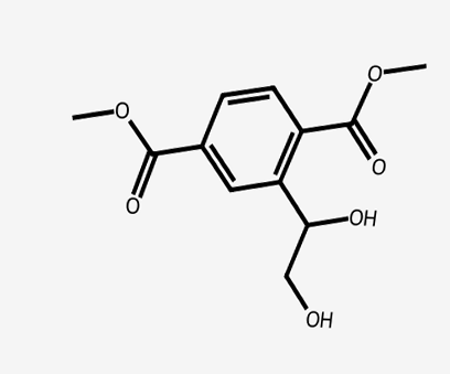 COC(=O)c1ccc(C(=O)OC)c(C(O)CO)c1